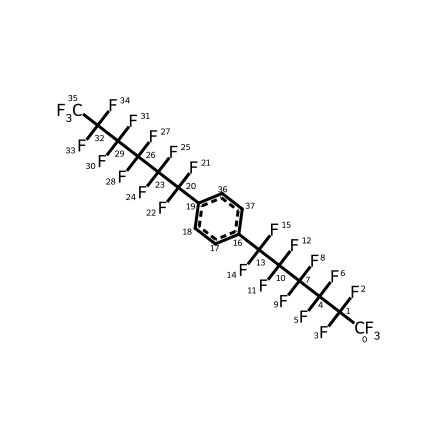 FC(F)(F)C(F)(F)C(F)(F)C(F)(F)C(F)(F)C(F)(F)c1ccc(C(F)(F)C(F)(F)C(F)(F)C(F)(F)C(F)(F)C(F)(F)F)cc1